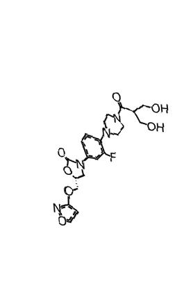 O=C(C(CO)CO)N1CCN(c2ccc(N3C[C@H](COc4ccon4)OC3=O)cc2F)CC1